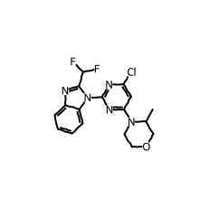 CC1COCCN1c1cc(Cl)nc(-n2c(C(F)F)nc3ccccc32)n1